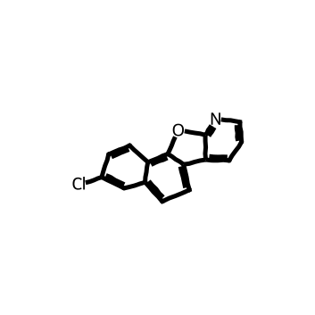 Clc1ccc2c(ccc3c4cccnc4oc23)c1